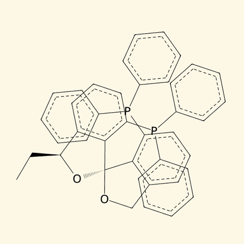 CC[C@@H]1O[C@]2(OCc3cccc(P(c4ccccc4)c4ccccc4)c32)c2c1cccc2P(c1ccccc1)c1ccccc1